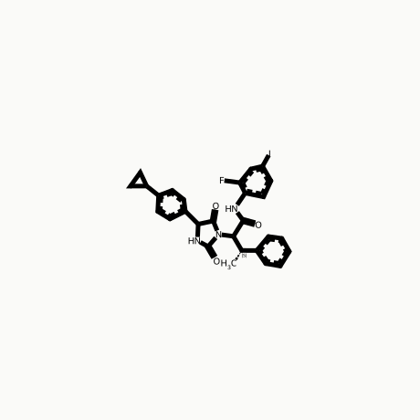 C[C@@H](c1ccccc1)C(C(=O)Nc1ccc(I)cc1F)N1C(=O)NC(c2ccc(C3CC3)cc2)C1=O